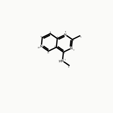 CNc1nc(C)nc2ccncc12